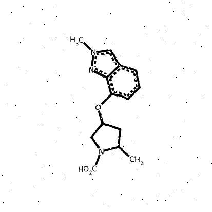 CC1CC(Oc2cccc3cn(C)nc23)CN1C(=O)O